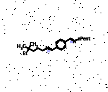 CCCCC/N=C/c1ccc(/C=N/CCCC(C)(C)CC)cc1